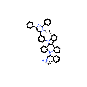 Cc1ccccc1/C(=C\N)N1c2ccccc2-c2c(n(-c3cccc(C4C=C(c5ccccc5)NC(c5ccccc5)N4C)c3)c3ccccc23)-c2ccccc21